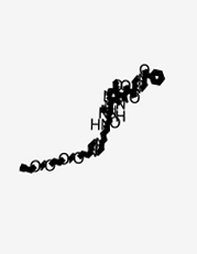 C#CCOCCOCCOCCOCCN1CCN(CCCNC(=O)c2ncn(-c3ncc(OC)c4c(C(=O)C(=O)N5CCN(C(=O)c6ccccc6)CC5)c[nH]c34)n2)CC1